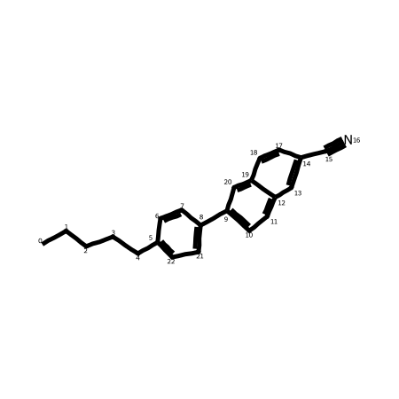 CCCCCc1ccc(-c2ccc3cc(C#N)ccc3c2)cc1